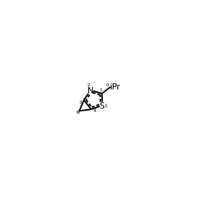 CC(C)c1nc2c(s1)[CH]2